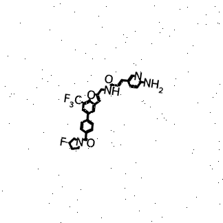 Nc1ccc(C=CC(=O)NCc2cc3cc(-c4ccc(C(=O)N5CC[C@H](F)C5)cc4)cc(C(F)(F)F)c3o2)cn1